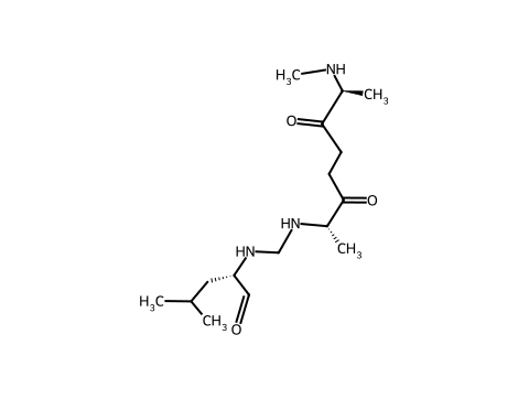 CN[C@@H](C)C(=O)CCC(=O)[C@H](C)NCN[C@H](C=O)CC(C)C